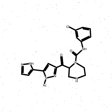 CC(=O)n1nc(C(=O)C2CNCCN2C(=O)Nc2cccc(Cl)c2)cc1-c1ccn[nH]1